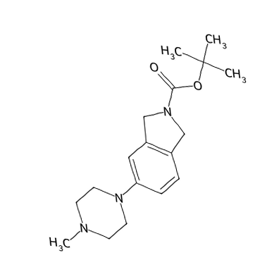 CN1CCN(c2ccc3c(c2)CN(C(=O)OC(C)(C)C)C3)CC1